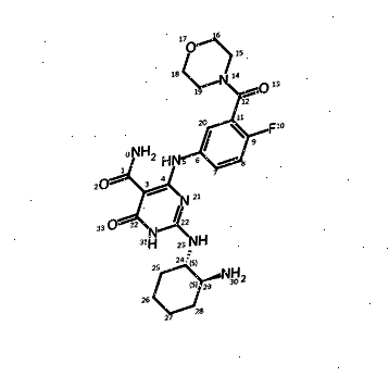 NC(=O)c1c(Nc2ccc(F)c(C(=O)N3CCOCC3)c2)nc(N[C@H]2CCCC[C@@H]2N)[nH]c1=O